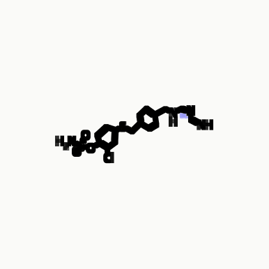 N=C/N=C\NCc1ccc(CSc2ccc(OS(N)(=O)=O)c(Cl)c2)cc1